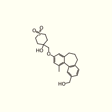 Cc1cc(OCC2(O)CCS(=O)(=O)CC2)cc2c1-c1cc(CO)ccc1CCC2